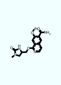 CC(C)Oc1cc2c(OCC3CN(C)C(=O)N3)nccc2cc1C(N)=O